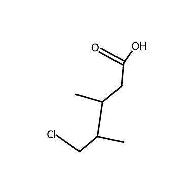 CC(CCl)C(C)CC(=O)O